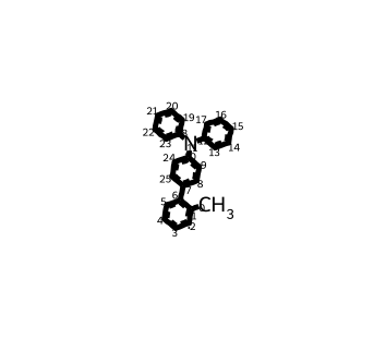 Cc1[c]cccc1-c1ccc(N(c2ccccc2)c2ccccc2)cc1